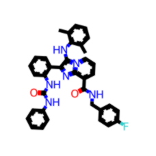 Cc1cccc(C)c1Nc1c(-c2ccccc2NC(=O)Nc2ccccc2)nc2c(C(=O)NCc3ccc(F)cc3)cccn12